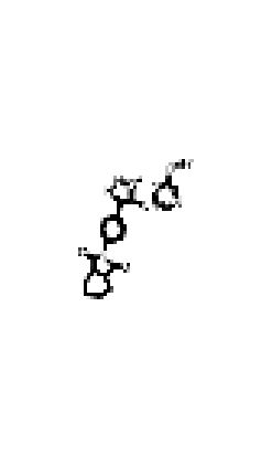 CC(C)Oc1cncc(Nc2c(-c3ccc(N4C(=O)C5CCCCC5C4=O)cc3)nnn2C)n1